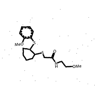 COCCNC(=O)CSC1CCCCC1Sc1ccccc1OC